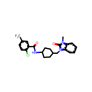 Cn1c(=O)n(CC2CCC(NC(=O)c3cc(C(F)(F)F)ccc3Cl)CC2)c2ccccc21